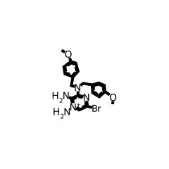 COc1ccc(CN(Cc2ccc(OC)cc2)c2nc(Br)c[n+](N)c2N)cc1